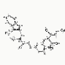 CCOC(=O)c1cc2cc(C=CC(=O)N(C)Cc3sc4ccccc4c3C)cnc2[nH]c1=O